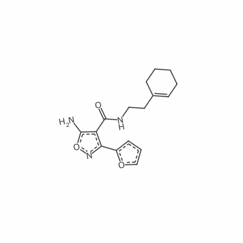 Nc1onc(-c2ccco2)c1C(=O)NCCC1=CCCCC1